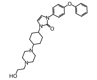 O=c1n(-c2ccc(Oc3ccccc3)cc2)ccn1C1CCC(N2CCN(CCO)CC2)CC1